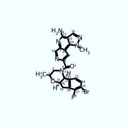 C[C@H]1CN(C(=O)c2cc3c(cn2)nc(N)c2cnn(C)c23)[C@H]2c3ccc(Br)c(F)c3C[C@H]2O1